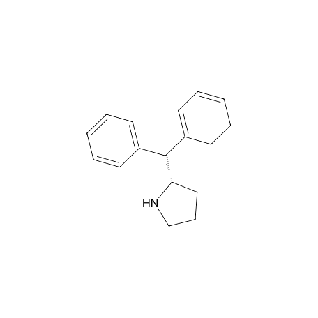 C1=CCCC(C(c2ccccc2)[C@@H]2CCCN2)=C1